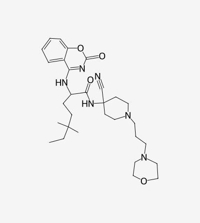 CCC(C)(C)CCC(Nc1nc(=O)oc2ccccc12)C(=O)NC1(C#N)CCN(CCCN2CCOCC2)CC1